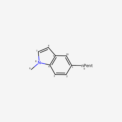 CCCCCc1ccc2c(ccn2C)c1